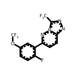 Fc1ccc(OC(F)(F)F)cc1-c1ccc2nnc(C(F)(F)F)n2n1